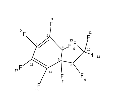 FC1=C(F)C(F)C(F)(C(F)C(F)(F)F)C(F)=C1F